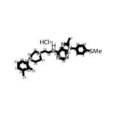 CSc1ccc(-n2c(C)nc3c(NCCN4CCN(c5cccc(C)c5C)CC4)ncnc32)cc1.Cl